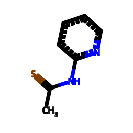 CC(=S)Nc1ccccn1